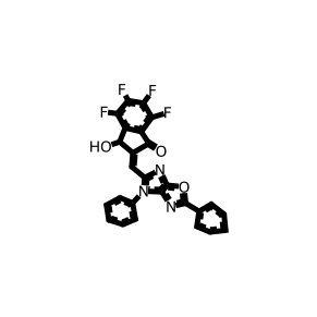 O=C1/C(=C\c2nc3oc(-c4ccccc4)nc3n2-c2ccccc2)C(O)c2c(F)c(F)c(F)c(F)c21